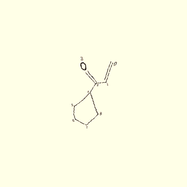 C=CC(=O)C1CCCC1